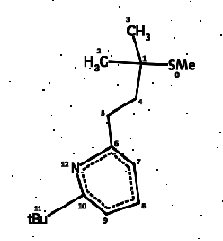 CSC(C)(C)CCc1cccc(C(C)(C)C)n1